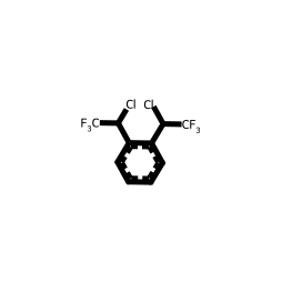 FC(F)(F)C(Cl)c1ccccc1C(Cl)C(F)(F)F